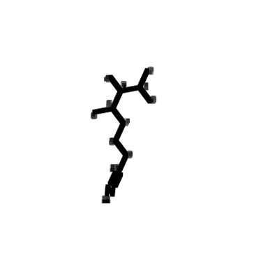 CC(C)C(C)C(C)CCCC#N